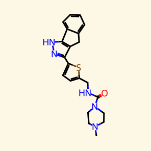 CN1CCN(C(=O)NCc2ccc(-c3n[nH]c4c3Cc3ccccc3-4)s2)CC1